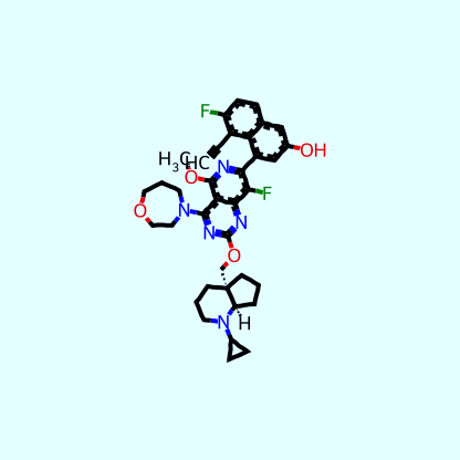 C#Cc1c(F)ccc2cc(O)cc(-c3nc(OC)c4c(N5CCCOCC5)nc(OC[C@]56CCC[C@H]5N(C5CC5)CCC6)nc4c3F)c12